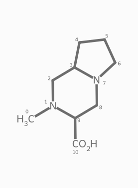 CN1CC2CCCN2CC1C(=O)O